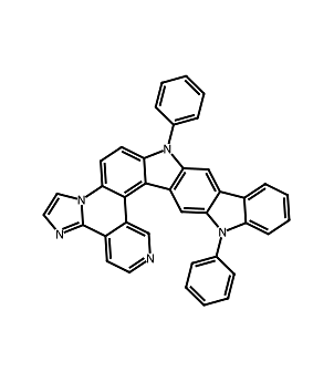 c1ccc(-n2c3ccccc3c3cc4c(cc32)c2c3c5cnccc5c5nccn5c3ccc2n4-c2ccccc2)cc1